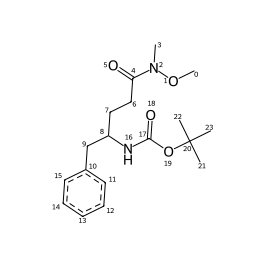 CON(C)C(=O)CCC(Cc1ccccc1)NC(=O)OC(C)(C)C